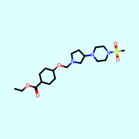 CCOC(=O)C1CCC(OCN2CCC(N3CCN(S(C)(=O)=O)CC3)C2)CC1